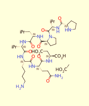 CC(=O)O.CC(C)C[C@H](NC(=O)[C@@H]1CCCN1C(=O)[C@@H](NC(=O)[C@@H]1CCCN1)C(C)C)C(=O)N[C@H](C(=O)N[C@@H](CCCCN)C(=O)N[C@@H](CCC(N)=O)C(=O)N[C@@H](CC(=O)O)C(=O)O)C(C)C